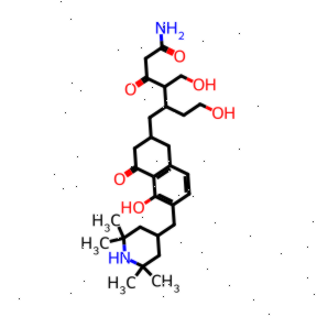 CC1(C)CC(Cc2ccc3c(c2O)C(=O)CC(CC(CCO)C(CO)C(=O)CC(N)=O)C3)CC(C)(C)N1